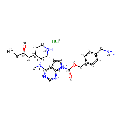 CN(c1ncnc2c1ccn2C(=O)OCc1ccc(CN)cc1)[C@H]1CNCC[C@@H]1CC(=O)CC#N.Cl